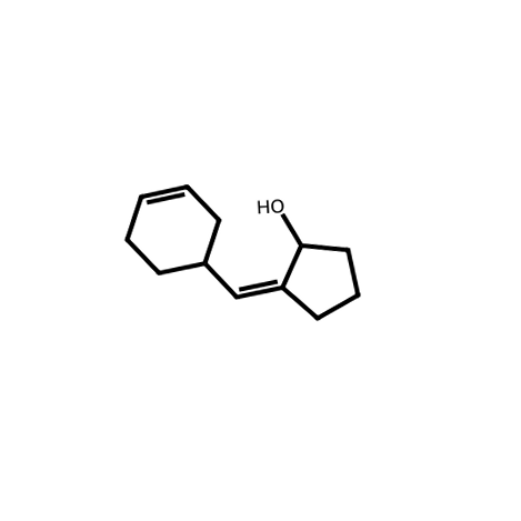 OC1CCC/C1=C/C1CC=CCC1